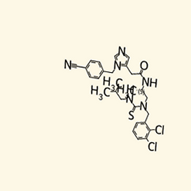 CC(C)CNC(=S)N(Cc1cccc(Cl)c1Cl)C[C@H](C)NC(=O)Cc1cncn1Cc1ccc(C#N)cc1